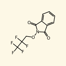 O=C1c2ccccc2C(=O)N1OCC(F)(F)C(F)(F)F